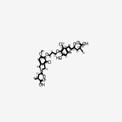 COc1cc2c(c(Cl)c1OCCCOc1c(O)cc3sc(C(=O)CC(C)C(=O)O)cc3c1Cl)CN(C(=O)CC(C)C(=O)O)C2